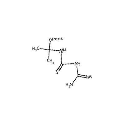 CCCCCC(C)(C)NC(=S)NC(=N)N